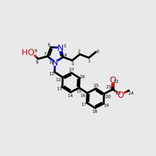 CCCCc1ncc(CO)n1Cc1ccc(-c2cccc(C(=O)OC)c2)cc1